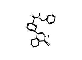 CN(Cc1ccncc1)C(=O)c1cncc(-c2c[nH]c(=O)c3c2CCCC3)c1